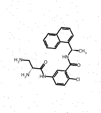 C[C@@H](NC(=O)c1cc(NC(=O)[C@H](N)CN)ccc1Cl)c1cccc2ccccc12